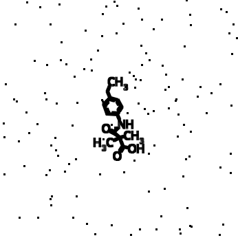 CCc1ccc(NC(=O)C(C)(C)C(=O)O)cc1